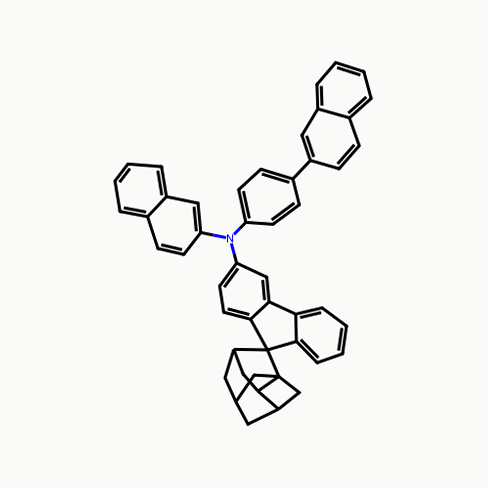 c1ccc2c(c1)-c1cc(N(c3ccc(-c4ccc5ccccc5c4)cc3)c3ccc4ccccc4c3)ccc1C21C2CC3CC4CC1(C3)C4C2